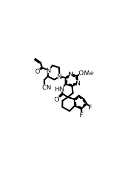 C=CC(=O)N1CCN(c2nc(OC)nc3c2NC(=O)C2(CCCc4c2ccc(F)c4F)C3)CC1CC#N